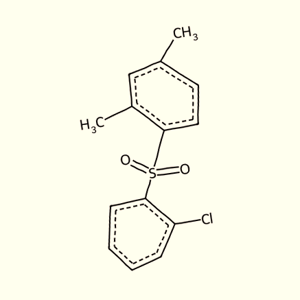 Cc1ccc(S(=O)(=O)c2ccccc2Cl)c(C)c1